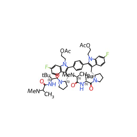 CNC(C)C(=O)N[C@H](C(=O)N1CCC[C@H]1Cc1c(-c2ccc(-c3c(C[C@@H]4CCCN4C(=O)[C@@H](NC(=O)[C@H](C)NC)C(C)(C)C)c4ccc(F)cc4n3CCOC(C)=O)cc2)n(CCOC(C)=O)c2cc(F)ccc12)C(C)(C)C